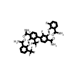 NC(=O)c1cccc(F)c1SSc1c(C(N)=O)ccc(-c2ccc(C(N)=O)c(SSc3c(C(N)=O)cccc3C(F)(F)F)c2C(F)(F)F)c1F